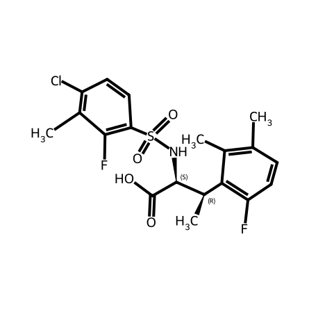 Cc1ccc(F)c([C@@H](C)[C@H](NS(=O)(=O)c2ccc(Cl)c(C)c2F)C(=O)O)c1C